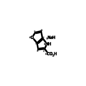 O=C(O)c1cc2occc2[nH]1.[NaH]